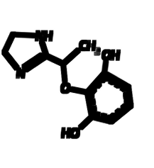 CC(Oc1c(O)cccc1O)C1=NCCN1